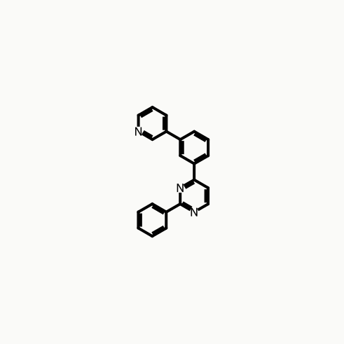 c1ccc(-c2nccc(-c3cccc(-c4cccnc4)c3)n2)cc1